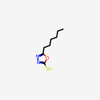 CCCCCCc1nnc(S)o1